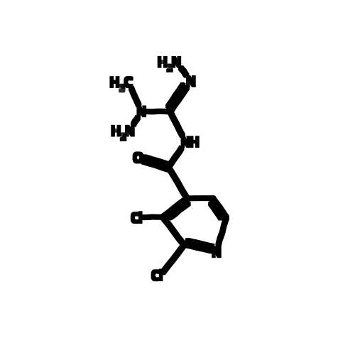 CN(N)/C(=N\N)NC(=O)c1ccnc(Cl)c1Cl